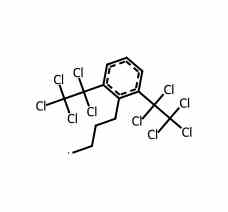 [CH2]CCCc1c(C(Cl)(Cl)C(Cl)(Cl)Cl)cccc1C(Cl)(Cl)C(Cl)(Cl)Cl